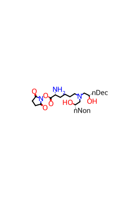 CCCCCCCCCC[C@H](O)CN(CCCC[C@@H](N)C(=O)ON1C(=O)CCC1=O)C[C@@H](O)CCCCCCCCC